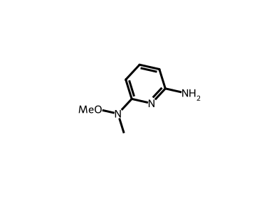 CON(C)c1cccc(N)n1